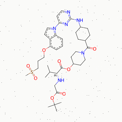 CC(C)[C@@H](NCC(=O)OC(C)(C)C)C(=O)OC1CCN(C(=O)C2CCC(Nc3nccc(-n4ccc5c(OCCCS(C)(=O)=O)cccc54)n3)CC2)CC1